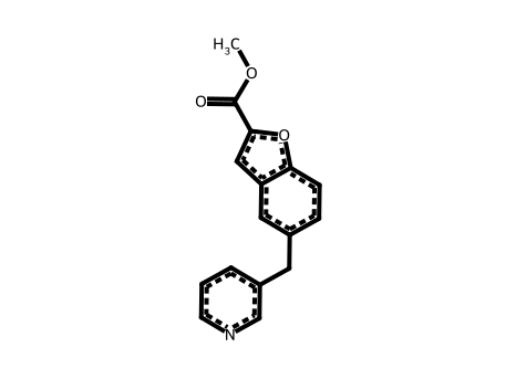 COC(=O)c1cc2cc(Cc3cccnc3)ccc2o1